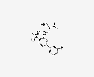 CC(C)C(O)COc1cc(-c2cccc(F)c2)ccc1S(C)(=O)=O